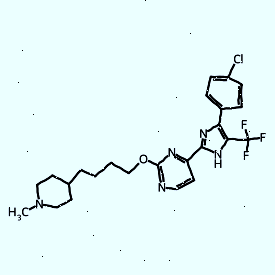 CN1CCC(CCCCOc2nccc(-c3nc(-c4ccc(Cl)cc4)c(C(F)(F)F)[nH]3)n2)CC1